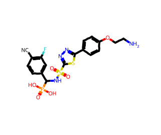 N#Cc1ccc(C(NS(=O)(=O)c2nnc(-c3ccc(OCCN)cc3)s2)P(=O)(O)O)cc1F